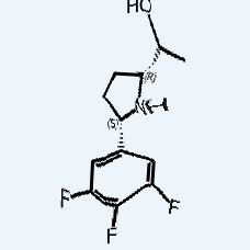 CC(O)[C@H]1CC[C@@H](c2cc(F)c(F)c(F)c2)N1